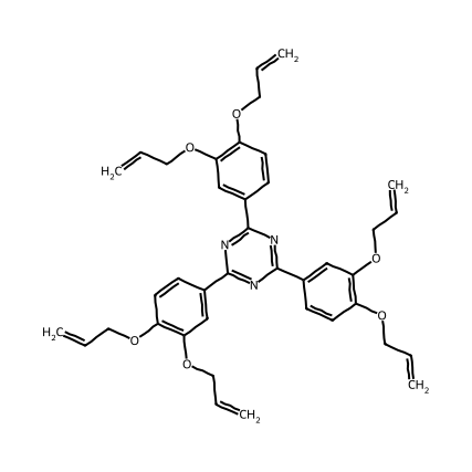 C=CCOc1ccc(-c2nc(-c3ccc(OCC=C)c(OCC=C)c3)nc(-c3ccc(OCC=C)c(OCC=C)c3)n2)cc1OCC=C